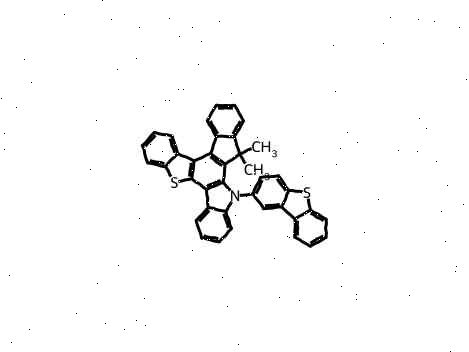 CC1(C)c2ccccc2-c2c1c1c(c3ccccc3n1-c1ccc3sc4ccccc4c3c1)c1sc3ccccc3c21